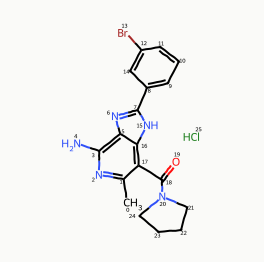 Cc1nc(N)c2nc(-c3cccc(Br)c3)[nH]c2c1C(=O)N1CCCC1.Cl